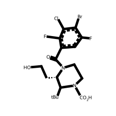 CC(C)(C)C1[C@H](CCO)N(C(=O)c2cc(F)c(Br)c(Cl)c2F)CCN1C(=O)O